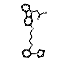 O=C(O)Cn1c2ccccc2c2ccc(OCCCOc3ccccc3-n3cccc3)cc21